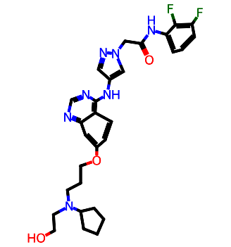 O=C(Cn1cc(Nc2ncnc3cc(OCCCN(CCO)C4CCCC4)ccc23)cn1)Nc1cccc(F)c1F